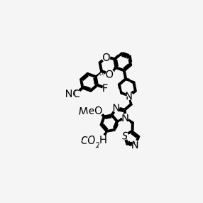 COc1cc(C(=O)O)cc2c1nc(CN1CCC(c3cccc4c3O[C@@H](c3ccc(C#N)cc3F)CO4)CC1)n2Cc1cncs1